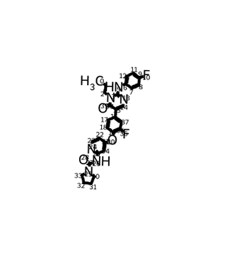 CCCn1c(Nc2ccc(F)cc2)ncc(-c2ccc(Oc3ccnc(NC(=O)N4CCCC4)c3)c(F)c2)c1=O